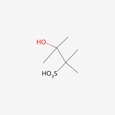 CC(C)(O)C(C)(C)S(=O)(=O)O